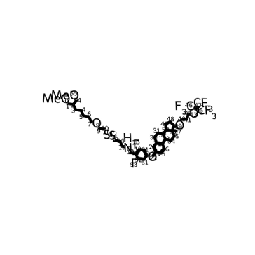 COCC(CCCCCOCCSSCCCNCc1c(F)cc(Oc2ccc3c(c2)CCC2C3CCC3(C)C(OCCCOC(C(F)(F)F)(C(F)(F)F)C(F)(F)F)CCC23)cc1F)COC